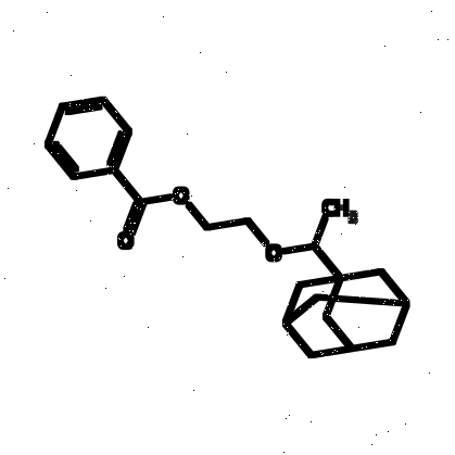 CC(OCCOC(=O)c1ccccc1)C12CC3CC(CC(C3)C1)C2